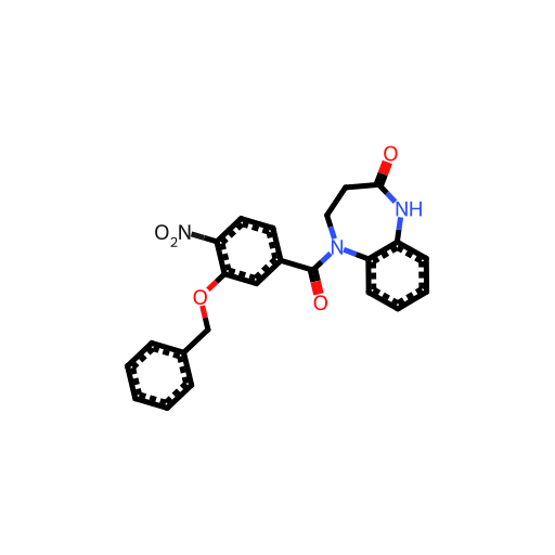 O=C1CCN(C(=O)c2ccc([N+](=O)[O-])c(OCc3ccccc3)c2)c2ccccc2N1